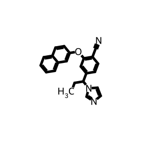 CCC(c1ccc(C#N)c(Oc2ccc3ccccc3c2)c1)n1ccnc1